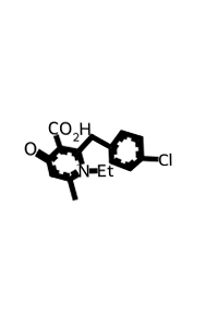 CCn1c(C)cc(=O)c(C(=O)O)c1Cc1ccc(Cl)cc1